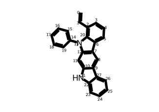 C=Cc1cccc2c3cc4c(cc3n(-c3ccccc3)c12)[nH]c1ccccc14